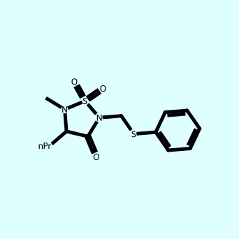 CCCC1C(=O)N(CSc2ccccc2)S(=O)(=O)N1C